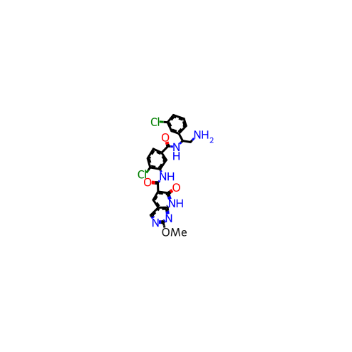 COc1ncc2cc(C(=O)Nc3cc(C(=O)NC(CN)c4cccc(Cl)c4)ccc3Cl)c(=O)[nH]c2n1